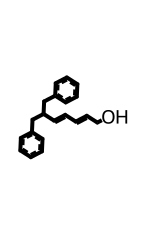 OC/C=C/C=C/C(Cc1ccccc1)Cc1ccccc1